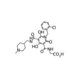 CN1CCC(CNC(=O)c2c(O)c(C(=O)NCC(=O)O)c(=O)n(Cc3ccccc3Cl)c2O)CC1